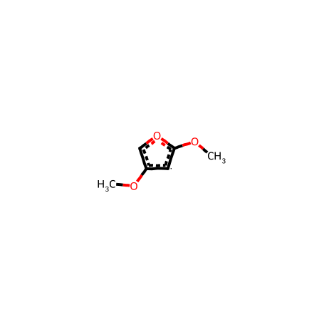 COc1[c]c(OC)oc1